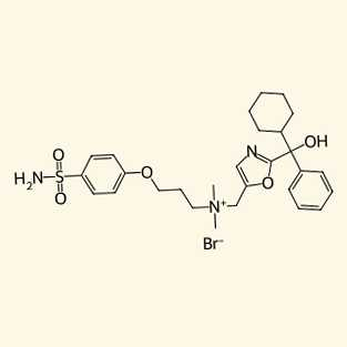 C[N+](C)(CCCOc1ccc(S(N)(=O)=O)cc1)Cc1cnc(C(O)(c2ccccc2)C2CCCCC2)o1.[Br-]